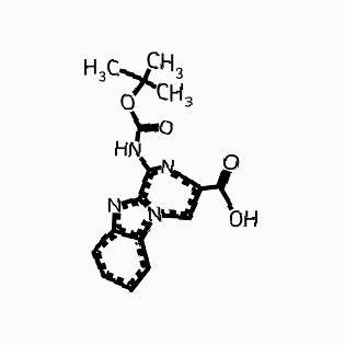 CC(C)(C)OC(=O)Nc1nc(C(=O)O)cn2c1nc1ccccc12